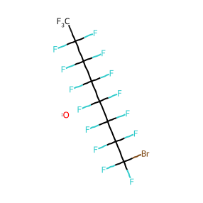 FC(F)(F)C(F)(F)C(F)(F)C(F)(F)C(F)(F)C(F)(F)C(F)(F)C(F)(F)Br.[O]